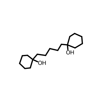 OC1(CCCCCC2(O)CCCCC2)CCCCC1